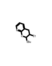 CCC1Cc2cccnc2OC1C(C)(C)C